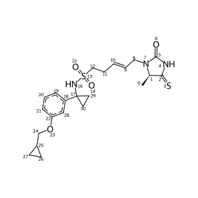 C[C@@H]1C(=S)NC(=O)N1C/C=C/CCS(=O)(=O)NC1(c2cccc(OCC3CC3)c2)CC1